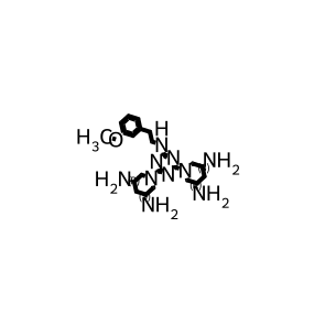 COc1cccc(CCNc2nc(N3C[C@H](N)C[C@H](N)C3)nc(N3C[C@H](N)C[C@H](N)C3)n2)c1